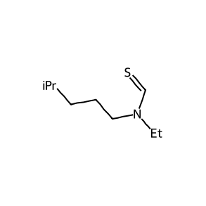 CCN(C=S)CCCC(C)C